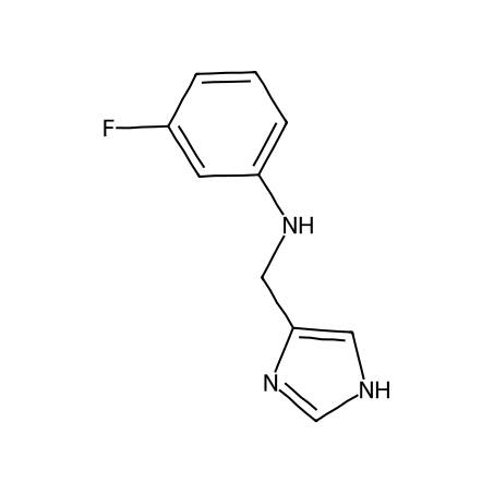 Fc1cccc(NCc2c[nH]cn2)c1